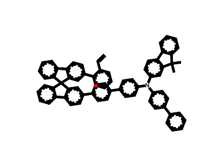 C=Cc1ccccc1-c1ccc2c(c1)C1(c3ccccc3-c3ccc(-c4ccc(-c5ccc(N(c6ccc(-c7ccccc7)cc6)c6ccc7c(c6)C(C)(C)c6ccccc6-7)cc5)cc4)cc31)c1ccccc1-2